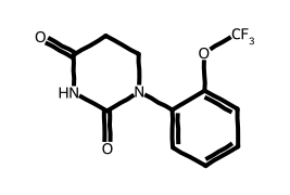 O=C1CCN(c2ccccc2OC(F)(F)F)C(=O)N1